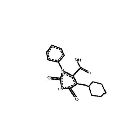 O=C(O)c1c(C2CCCCC2)c(=O)[nH]c(=O)n1-c1ccccc1